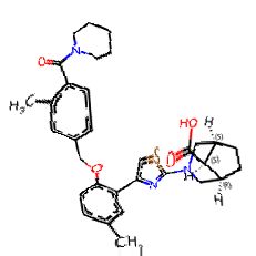 Cc1ccc(OCc2ccc(C(=O)N3CCCCC3)c(C)c2)c(-c2csc(N3C[C@H]4CC[C@@H](C3)[C@H]4C(=O)O)n2)c1